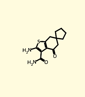 NC(=O)c1c(N)sc2c1C(=O)CC1(CCCC1)C2